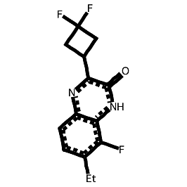 CCc1ccc2nc(C3CC(F)(F)C3)c(=O)[nH]c2c1F